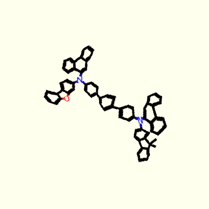 CC1(C)c2ccccc2-c2ccc(N(c3ccc(-c4ccc(-c5ccc(N(c6ccc7c(c6)oc6ccccc67)c6cc7ccccc7c7ccccc67)cc5)cc4)cc3)c3cc4ccccc4c4ccccc34)cc21